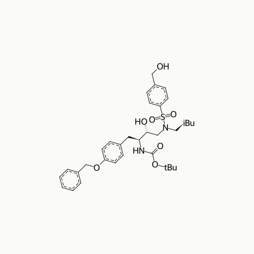 CC[C@H](C)CN(C[C@@H](O)[C@H](Cc1ccc(OCc2ccccc2)cc1)NC(=O)OC(C)(C)C)S(=O)(=O)c1ccc(CO)cc1